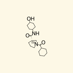 O=C(NC1CCC(O)CC1)[C@H]1CCCN(C(=O)C2CCCCC2)C1